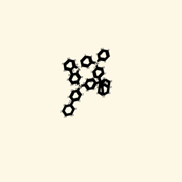 c1ccc(N(c2ccccc2)c2ccc(C3(c4ccc(N(c5ccc(C6CCCCC6)cc5)c5ccc6c(c5)sc5ccccc56)cc4)C4CC5CC(C4)CC3C5)cc2)cc1